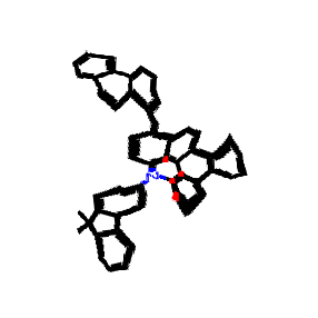 CC1(C)c2ccccc2-c2cc(N(c3ccc(-c4cccc5c4ccc4ccccc45)cc3)c3ccccc3-c3ccccc3-c3ccccc3-c3ccccc3)ccc21